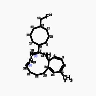 CC1=CC=CC2N/C(C3CCCC(CF)CCC3)=N\N=C\CCCC2=C1